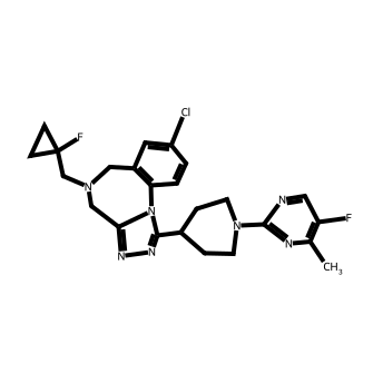 Cc1nc(N2CCC(c3nnc4n3-c3ccc(Cl)cc3CN(CC3(F)CC3)C4)CC2)ncc1F